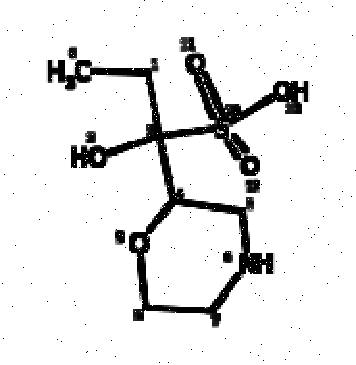 CCC(O)(C1CNCCO1)S(=O)(=O)O